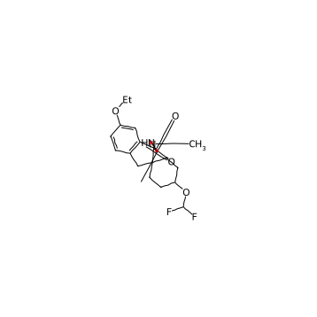 CCOc1ccc2c(c1)C1(NC(=O)N(C)C1=O)C1(CCC(OC(F)F)CC1)C2